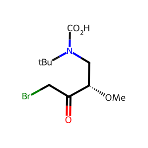 CO[C@@H](CN(C(=O)O)C(C)(C)C)C(=O)CBr